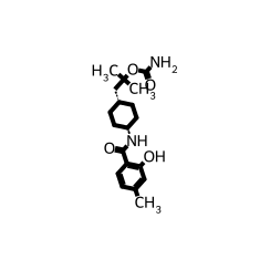 Cc1ccc(C(=O)N[C@H]2CC[C@@H](CC(C)(C)OC(N)=O)CC2)c(O)c1